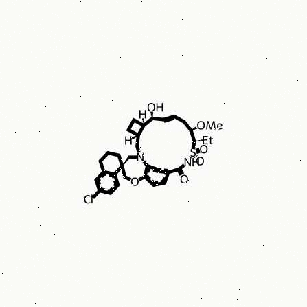 CC[C@H]1[C@H](OC)C/C=C/[C@H](O)[C@@H]2CC[C@H]2CN2C[C@@]3(CCCc4cc(Cl)ccc43)COc3ccc(cc32)C(=O)NS1(=O)=O